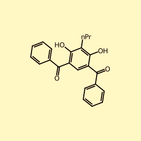 CCCc1c(O)c(C(=O)c2ccccc2)cc(C(=O)c2ccccc2)c1O